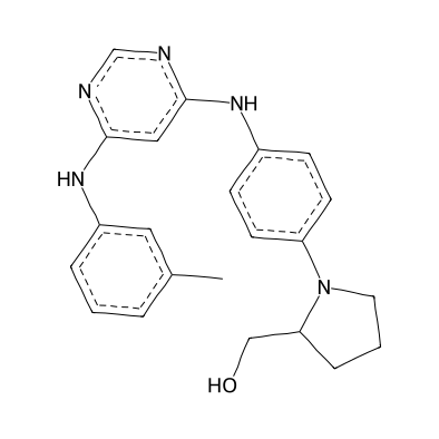 Cc1cccc(Nc2cc(Nc3ccc(N4CCCC4CO)cc3)ncn2)c1